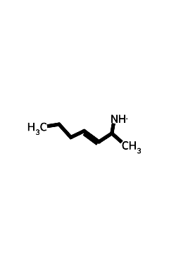 CCCC=CC(C)[NH]